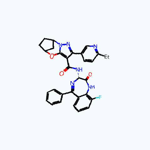 CCc1ccc(-c2nn3c(c2C(=O)N[C@H]2N=C(c4ccccc4)c4cccc(F)c4NC2=O)OC2CCC3C2)cn1